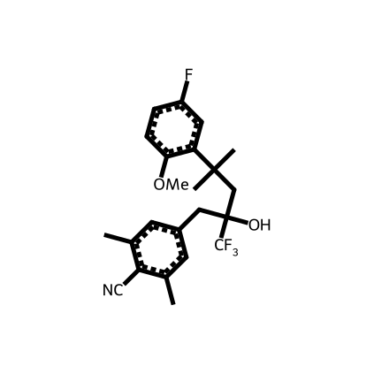 COc1ccc(F)cc1C(C)(C)CC(O)(Cc1cc(C)c(C#N)c(C)c1)C(F)(F)F